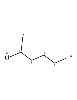 ClC(I)CCCI